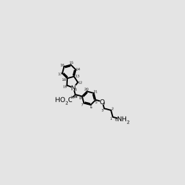 NCCCOc1ccc([C@@H](C(=O)O)N2Cc3ccccc3C2)cc1